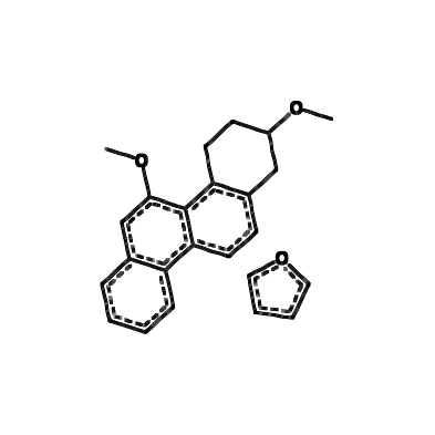 COc1cc2ccccc2c2ccc3c(c12)CCC(OC)C3.c1ccoc1